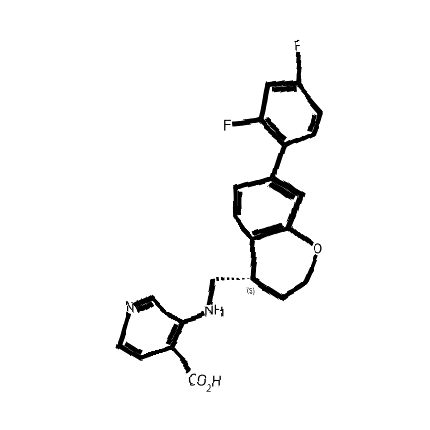 O=C(O)c1ccncc1NC[C@H]1CCOc2cc(-c3ccc(F)cc3F)ccc21